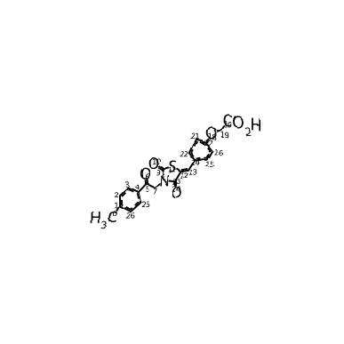 Cc1ccc(C(=O)CN2C(=O)S/C(=C\c3ccc(OCC(=O)O)cc3)C2=O)cc1